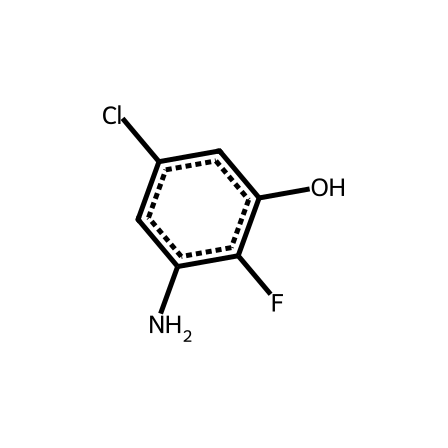 Nc1cc(Cl)cc(O)c1F